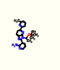 Cc1cccc(-c2ccc3nc(-c4cccnc4N)n(C(C)O[Si](C)(C)C(C)(C)C)c3n2)n1